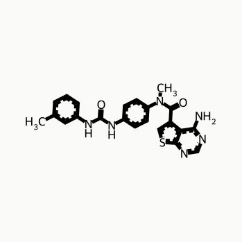 Cc1cccc(NC(=O)Nc2ccc(N(C)C(=O)c3csc4ncnc(N)c34)cc2)c1